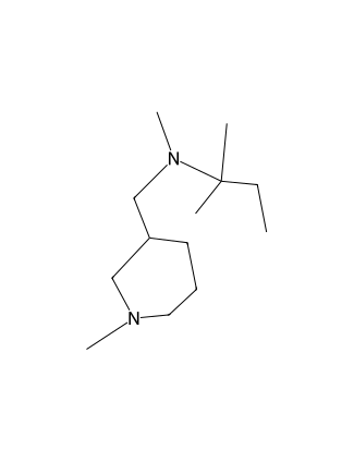 CCC(C)(C)N(C)CC1CCCN(C)C1